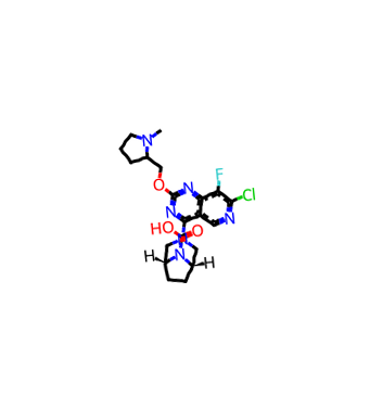 CN1CCCC1COc1nc(N2C[C@H]3CC[C@@H](C2)N3C(=O)O)c2cnc(Cl)c(F)c2n1